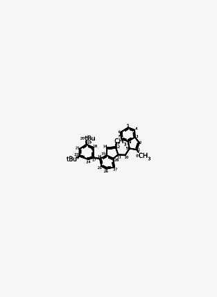 CC1=Cc2ccccc2C1CC1C(C)=Cc2c(-c3cc(C(C)(C)C)cc(C(C)(C)C)c3)cccc21